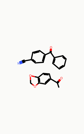 CC(=O)c1ccc2c(c1)OCO2.N#Cc1ccc(C(=O)c2ccccc2)cc1